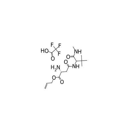 C=CCOC(=O)[C@H](N)CC(=O)NC(C(=O)NC)C(C)(C)C.O=C(O)C(F)(F)F